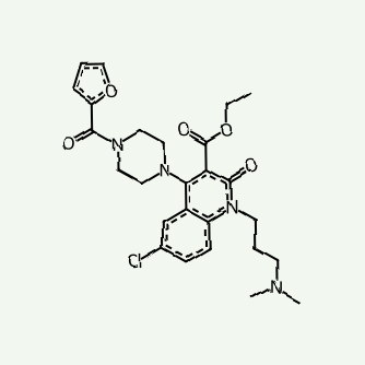 CCOC(=O)c1c(N2CCN(C(=O)c3ccco3)CC2)c2cc(Cl)ccc2n(CCCN(C)C)c1=O